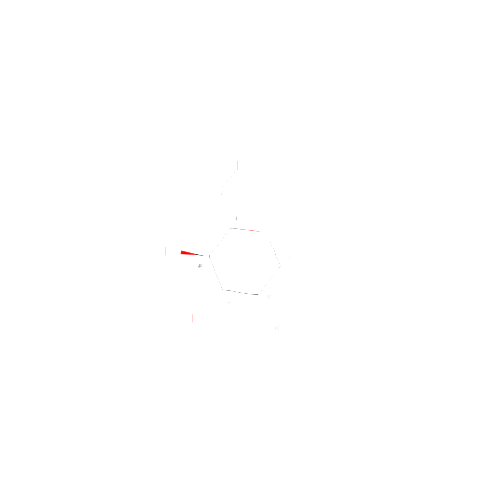 CCO[C@@H]1O[C@H](C)[C@H](O)[C@H](O)[C@H]1O